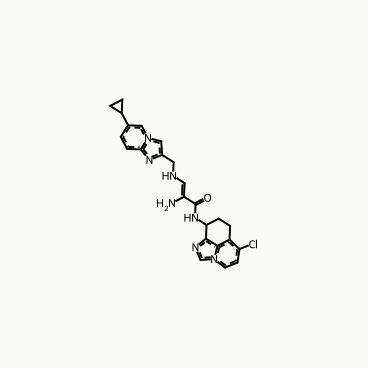 N/C(=C\NCc1cn2cc(C3CC3)ccc2n1)C(=O)NC1CCc2c(Cl)ccn3cnc1c23